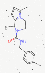 CCC1c2ccc(C)n2CCN1C(=O)NCc1ccc(C)cc1